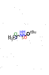 C/C=C\C(CCNC(=S)NC(=O)c1ccc(C(C)(C)C)cc1)=C(/C)Cl